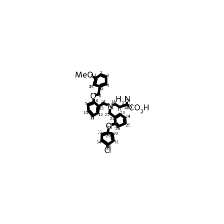 COc1cccc(COc2ccccc2CN(CCC(N)C(=O)O)Cc2ccccc2Oc2ccc(Cl)cc2)c1